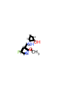 COc1ncc(F)cc1CN[C@@H]1CCC[C@@H]1O